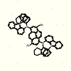 CC(C)c1cc(N(c2cccc3c2CCCC3)c2cccc3c4ccccc4n(-c4ccccc4)c23)c2ccc3c(C(C)C)cc(N(c4cccc5c4CCCC5)c4cccc5c6ccccc6n(-c6ccccc6)c45)c4ccc1c2c34